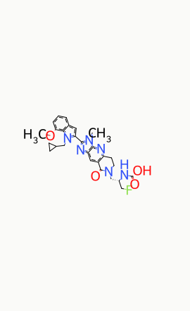 COc1cccc2cc(-c3nc4cc5c(nc4n3C)CCN(C[C@@H](CF)NC(=O)O)C5=O)n(CC3CC3)c12